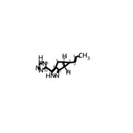 C/C=C/C1[C@@H]2Cc3c(n[nH]c3-c3nn[nH]n3)[C@@H]12